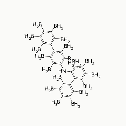 Bc1c(B)c(B)c(-c2c(B)c(B)c(Nc3c(B)c(B)c(B)c(B)c3-c3c(B)c(B)c(B)c(B)c3B)c(B)c2B)c(B)c1B